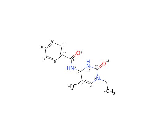 CCN1C=C(C)C(NC(=O)c2ccccc2)NC1=O